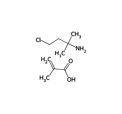 C=C(C)C(=O)O.CC(C)(N)CCCl